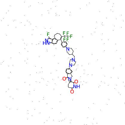 O=C1CC[C@H](N2Cc3cc(N4CCN(CC5CCN(c6ccc(C7=C(C(F)(F)C(F)(F)F)CCCc8c7ccc7[nH]nc(F)c87)cc6)CC5)CC4)ccc3C2=O)C(=O)N1